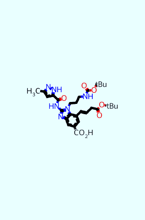 Cc1cc(C(=O)Nc2nc3cc(C(=O)O)cc(/C=C/CC(=O)OC(C)(C)C)c3n2CCCNC(=O)OC(C)(C)C)[nH]n1